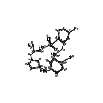 CS(=O)(=O)c1ccc(F)cc1CNc1nc(Nc2cnn(CC(N)=O)c2)ncc1F